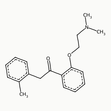 Cc1ccccc1CC(=O)c1ccccc1OCCN(C)C